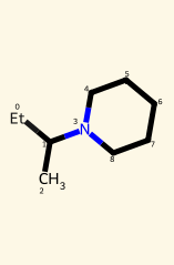 CCC(C)N1C[CH]CCC1